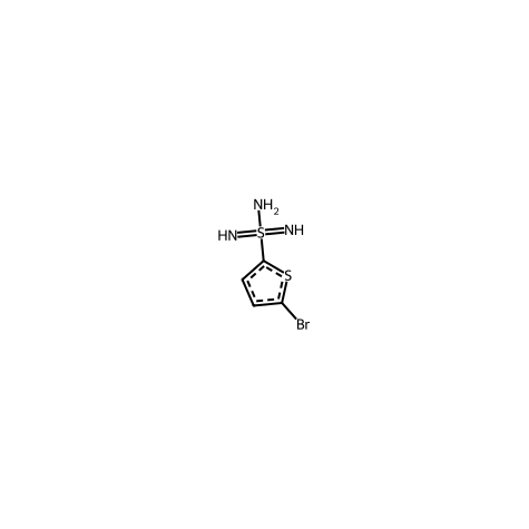 N=S(=N)(N)c1ccc(Br)s1